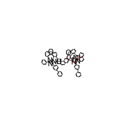 c1ccc(C2=NC(c3ccc(-c4ccccc4)cc3)NC(c3c(-c4ccc5ccc6cc(-c7ccc8c(c7)c(-c7cccc9oc%10cccc(-c%11nc(-c%12ccccc%12)nc(-c%12ccc(-c%13ccccc%13)cc%12)n%11)c%10c79)cc7ccccc78)ccc6c5c4)ccc4oc5ccccc5c34)=N2)cc1